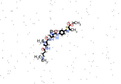 CCOC(=O)c1sc(-c2ccc(NC(=O)c3cc(NC(=O)c4cc(NC(=O)CCCN(C)C)cn4C)cn3C)cc2)nc1C